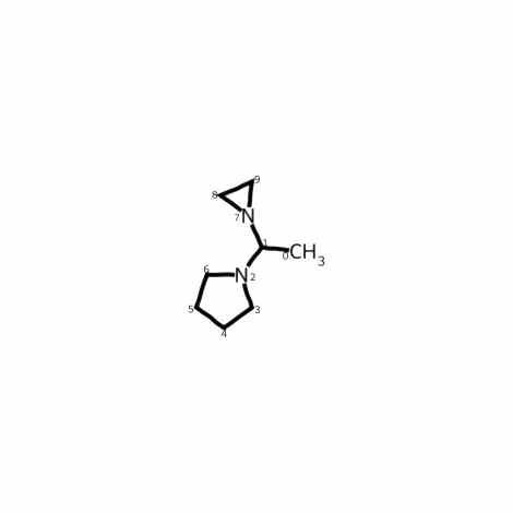 CC(N1CCCC1)N1CC1